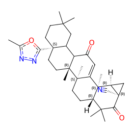 Cc1nnc([C@]23CCC(C)(C)CC2C2C(=O)C=C4[C@@]5(C)[C@H]6C[C@@]6(C#N)C(=O)C(C)(C)[C@@H]5CC[C@@]4(C)[C@]2(C)CC3)o1